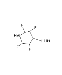 F[CH]1[AlH][CH](F)C(F)C(F)C1F.[LiH]